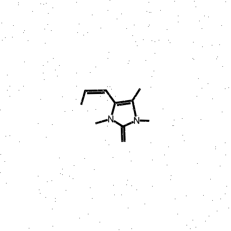 C=C1N(C)C(C)=C(/C=C\C)N1C